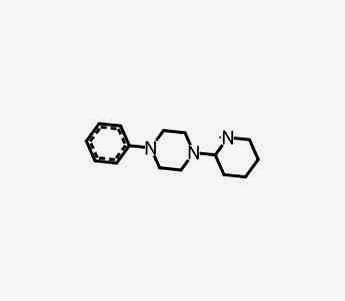 c1ccc(N2CCN(C3CCCC[N]3)CC2)cc1